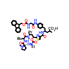 CCNC(=O)OC(CC(C(C)C)N(C)C(=O)C(NC(=O)[C@@]1(C)CCCN1C)C(C)CC)c1nc(C(=O)NC(Cc2ccc(NC(=O)CNC(=O)OCC3c4ccccc4-c4ccccc43)cc2)CC(C)C(=O)O)cs1